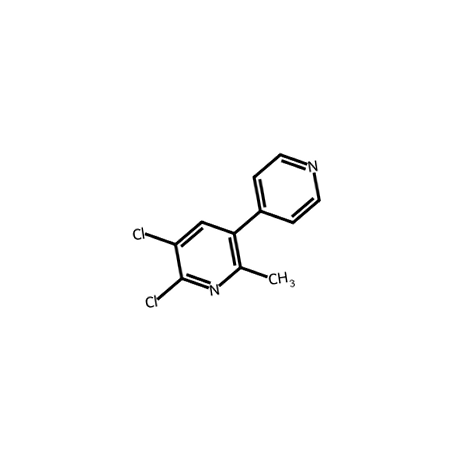 Cc1nc(Cl)c(Cl)cc1-c1ccncc1